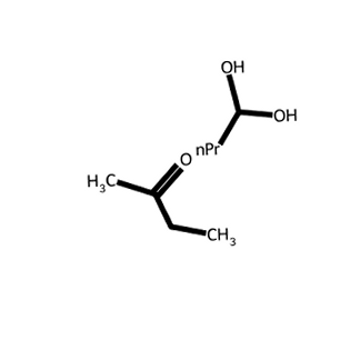 CCC(C)=O.CCCC(O)O